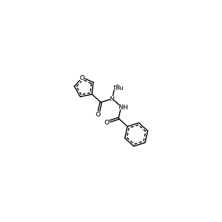 CC(C)(C)N(NC(=O)c1ccccc1)C(=O)c1ccoc1